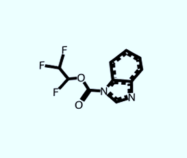 O=C(OC(F)C(F)F)n1cnc2ccccc21